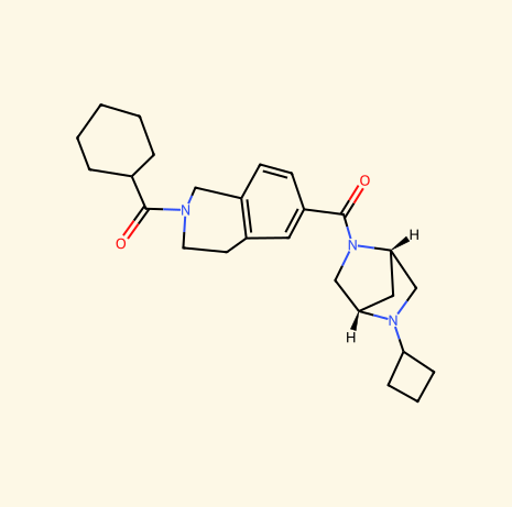 O=C(C1CCCCC1)N1CCc2cc(C(=O)N3C[C@@H]4C[C@H]3CN4C3CCC3)ccc2C1